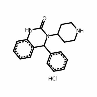 Cl.O=C1Nc2ccccc2C(c2ccccc2)N1C1CCNCC1